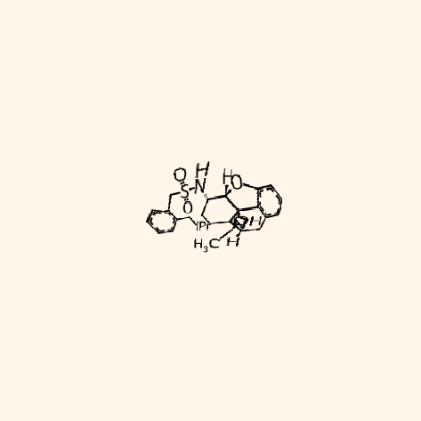 CC(C)Cc1ccccc1CS(=O)(=O)N[C@H]1CC[C@@]2(O)[C@H]3Cc4cccc5c4[C@@]2(CCN3C)[C@H]1O5